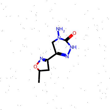 CC1CC(C2=NNC(=O)N(N)C2)=NO1